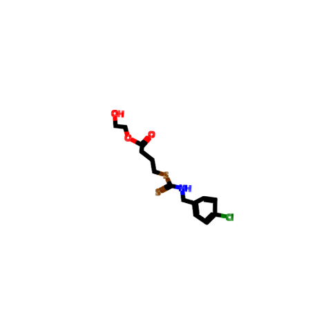 O=C(CCCSC(=S)NCc1ccc(Cl)cc1)OCCO